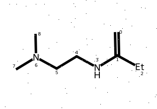 C=C(CC)NCCN(C)C